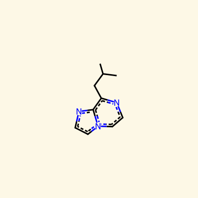 CC(C)Cc1nccn2ccnc12